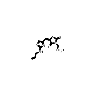 C=CCNc1nc(C=C2SC(=S)N(CC(=O)O)C2=O)cs1